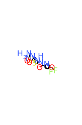 CN1C(N)=N[C@](C)(c2nc(NC(=O)c3ccc(OC(F)F)cn3)cs2)CS1(=O)=O